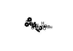 CC#CCn1c(N2CCC[C@@H](NC(=O)OC(C)(C)C)C2)nc2c(C)nn(CC3=Nc4ccccc4Oc4ccccc43)c(=O)c21